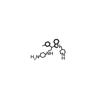 Cc1cccc(C(CCNC2CCC(N)CC2)c2cn(CC3CCNCC3)c3ccccc23)c1